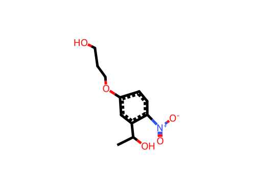 CC(O)c1cc(OCCCO)ccc1[N+](=O)[O-]